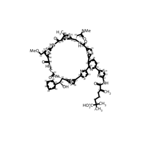 C=C(CCCC(C)(C)C(=O)O)C(=O)Nc1csc(-c2ccc3c(n2)-c2csc(n2)-c2csc(n2)[C@H]([C@@H](O)c2ccccc2)NC(=O)CNC(=O)c2nc(sc2COC)NC(=O)c2nc(sc2C)[C@H](CC(=O)NC)NC(=O)c2csc-3n2)n1